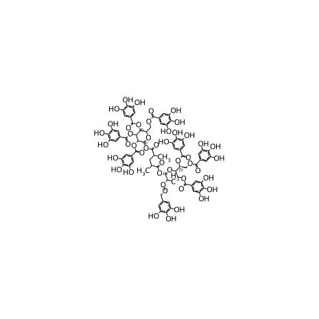 CC(CC(C)C(=O)O[C@@H]1OC(COC(=O)c2cc(O)c(O)c(O)c2)[C@@H](OC(=O)c2cc(O)c(O)c(O)c2)C(OC(=O)c2cc(O)c(O)c(O)c2)C1OC(=O)c1cc(O)c(O)c(O)c1)C(=O)O[C@H](OC(COC(=O)c1cc(O)c(O)c(O)c1)[C@H](COC(=O)c1cc(O)c(O)c(O)c1)OC(=O)c1cc(O)c(O)c(O)c1)C(C)OOCc1cc(O)c(O)c(O)c1